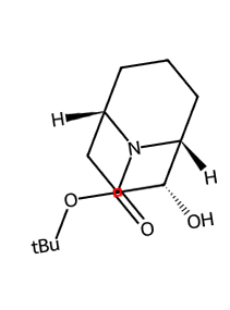 CC(C)(C)OC(=O)N1[C@H]2CCC[C@@H]1[C@H](O)CC2